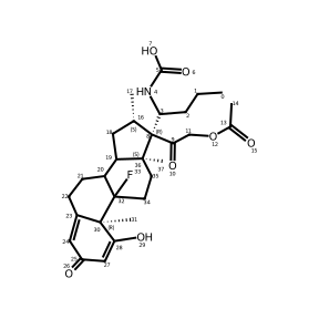 CCCC(NC(=O)O)[C@@]1(C(=O)COC(C)=O)[C@@H](C)CC2C3CCC4=CC(=O)C=C(O)[C@]4(C)C3(F)CC[C@@]21C